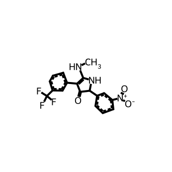 CNC1=C(c2cccc(C(F)(F)F)c2)C(=O)C(c2cccc([N+](=O)[O-])c2)N1